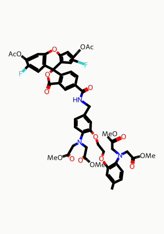 COC(=O)CN(CC(=O)OC)c1ccc(C)cc1OCCOc1cc(CNC(=O)c2ccc3c(c2)C(=O)OC32c3cc(F)c(OC(C)=O)cc3Oc3cc(OC(C)=O)c(F)cc32)ccc1N(CC(=O)OC)CC(=O)OC